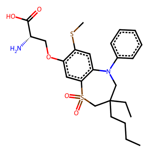 CCCCC1(CC)CN(c2ccccc2)c2cc(SC)c(OC[C@H](N)C(=O)O)cc2S(=O)(=O)C1